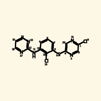 Clc1cnc(Sc2cccc(Nc3ncccn3)c2Cl)cn1